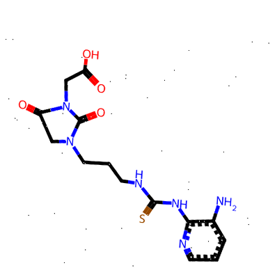 Nc1cccnc1NC(=S)NCCCN1CC(=O)N(CC(=O)O)C1=O